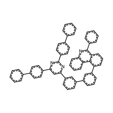 c1ccc(-c2ccc(-c3cc(-c4cccc(-c5cccc(-c6cccc7c(-c8ccccc8)nc8ccccc8c67)c5)c4)nc(-c4ccc(-c5ccccc5)cc4)n3)cc2)cc1